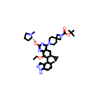 CCOc1c(-c2c(C)ccc3[nH]ncc23)c(C2CC2)cc2c(N3CCC4(CC3)CN(C(=O)OC(C)(C)C)C4)nc(OC[C@@H]3CCCN3C)nc12